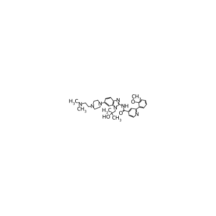 COc1ccccc1-c1cc(C(=O)Nc2nc3ccc(N4CCN(CCN(C)C)CC4)cc3n2CC(C)(C)O)ccn1